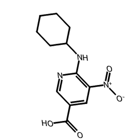 O=C(O)c1cnc(NC2CCCCC2)c([N+](=O)[O-])c1